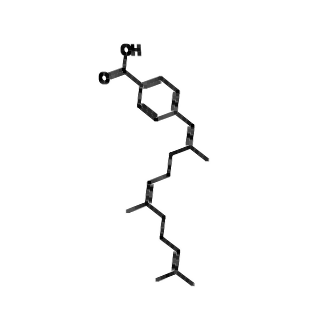 CC(C)=CCCC(C)=CCCC(C)=Cc1ccc(C(=O)O)cc1